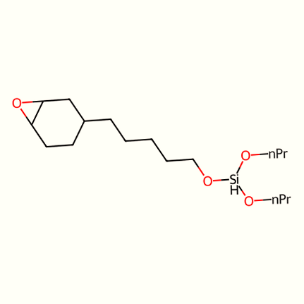 CCCO[SiH](OCCC)OCCCCCC1CCC2OC2C1